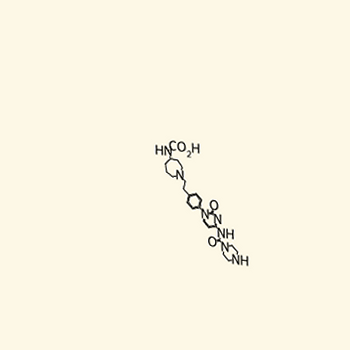 O=C(O)NC1CCCN(CCc2ccc(-n3ccc(NC(=O)N4CCNCC4)nc3=O)cc2)CC1